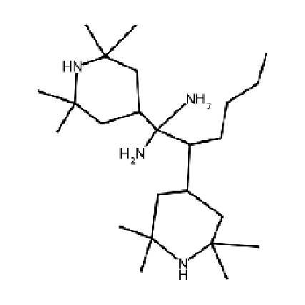 CCCCC(C1CC(C)(C)NC(C)(C)C1)C(N)(N)C1CC(C)(C)NC(C)(C)C1